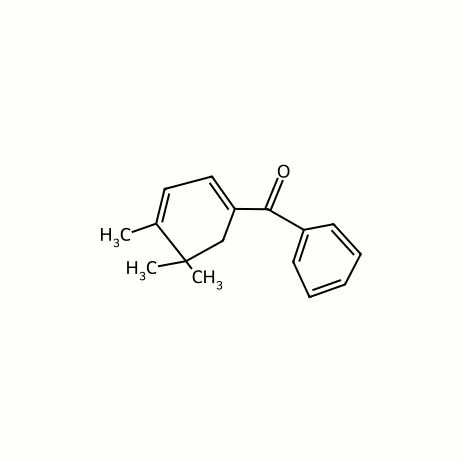 CC1=CC=C(C(=O)c2ccccc2)CC1(C)C